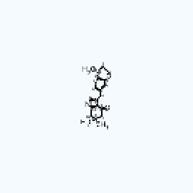 CN1CCOc2cc(Cn3cnc4c3C(=O)CC(C)(C)C4)cnc21